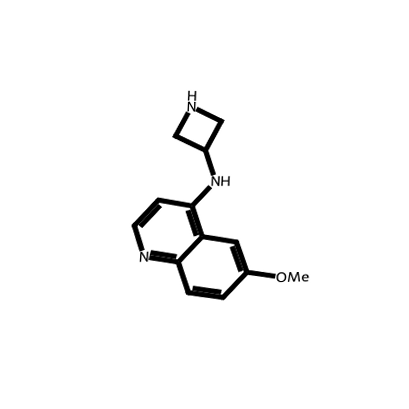 COc1ccc2nccc(NC3CNC3)c2c1